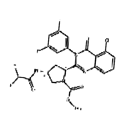 CC(C)(C)OC(=O)N1C[C@H](NC(=O)C(F)F)C[C@H]1c1nc2cccc(Cl)c2c(=O)n1-c1cc(F)cc(F)c1